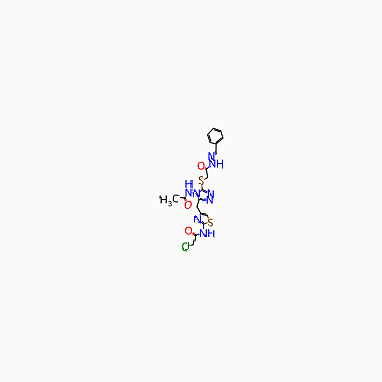 CC(=O)Nn1c(Cc2csc(NC(=O)CCl)n2)nnc1SCC(=O)N/N=C/c1ccccc1